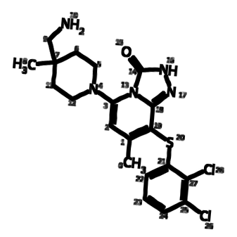 Cc1cc(N2CCC(C)(CN)CC2)n2c(=O)[nH]nc2c1Sc1cccc(Cl)c1Cl